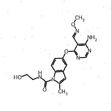 CON=Cc1c(N)ncnc1Oc1ccc2c(c1)cc(C)n2C(=O)NCCO